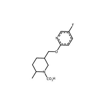 CC1CCC(COc2ccc(F)cn2)CN1C(=O)O